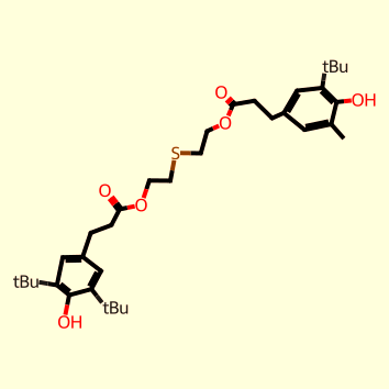 Cc1cc(CCC(=O)OCCSCCOC(=O)CCc2cc(C(C)(C)C)c(O)c(C(C)(C)C)c2)cc(C(C)(C)C)c1O